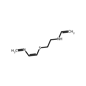 C=CNCCS/C=C\N=C